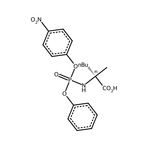 CCCC[C@@](C)(NP(=O)(Oc1ccccc1)Oc1ccc([N+](=O)[O-])cc1)C(=O)O